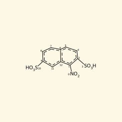 O=[N+]([O-])c1c(S(=O)(=O)O)ccc2ccc(S(=O)(=O)O)cc12